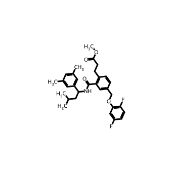 COC(=O)CCc1ccc(COc2cc(F)ccc2F)cc1C(=O)NC(CC(C)C)c1cc(C)cc(C)c1